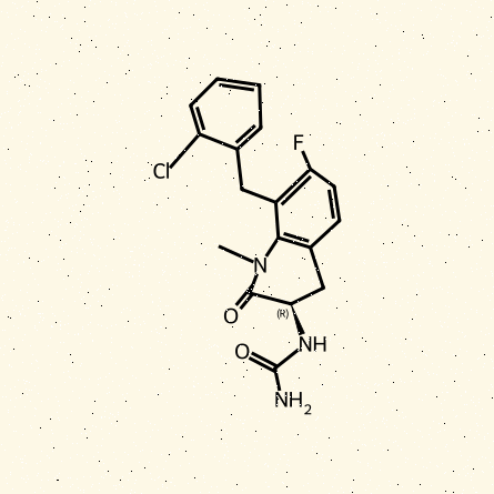 CN1C(=O)[C@H](NC(N)=O)Cc2ccc(F)c(Cc3ccccc3Cl)c21